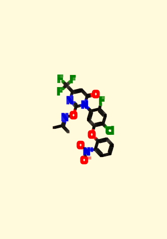 CC(C)=NOc1nc(C(F)(F)F)cc(=O)n1-c1cc(Oc2ccccc2[N+](=O)[O-])c(Cl)cc1F